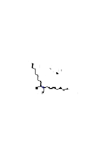 CCCCCCCC/C(C(=O)[O-])=C(\CCCCCCCC)C(=O)[O-].C[C](C)(C)[Sn+2][C](C)(C)C